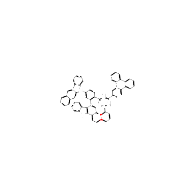 c1ccc(-c2nc(-c3ccc4c5ccccc5c5ccccc5c4c3)nc(-c3ccc(-n4c5ccccc5c5cc6ccccc6cc54)cc3-c3cc4ccccc4c4sc5ccccc5c34)n2)cc1